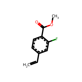 C=Cc1ccc(C(=O)OC)c(F)c1